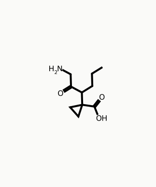 CCCC(C(=O)CN)C1(C(=O)O)CC1